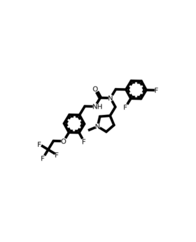 CN1CCC(CN(Cc2ccc(F)cc2F)C(=O)NCc2ccc(OCC(F)(F)F)c(F)c2)C1